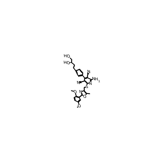 COc1ccc(OC)c(-c2nc(CSc3nc(N)c(C#N)c(-c4ccc(CC[C@@H](O)CO)cc4)c3C#N)c(C)o2)c1